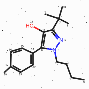 CCCCn1nc(C(C)(C)C)c(O)c1-c1ccc(C)cc1